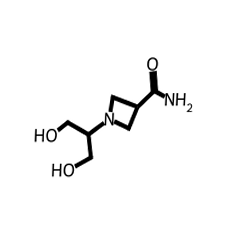 NC(=O)C1CN(C(CO)CO)C1